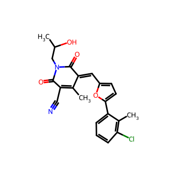 CC1=C(C#N)C(=O)N(CC(C)O)C(=O)/C1=C/c1ccc(-c2cccc(Cl)c2C)o1